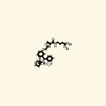 CCOC(CCCNC(=O)c1coc(COc2cccc(C(c3ccccc3)N(C(=O)O)[C@H]3CN4CCC3CC4)c2)n1)OCC